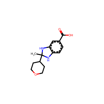 CC1(C2CCOCC2)Nc2ccc(C(=O)O)cc2N1